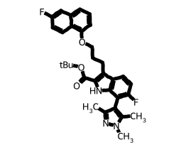 Cc1nn(C)c(C)c1-c1c(F)ccc2c(CCCOc3cccc4cc(F)ccc34)c(C(=O)OC(C)(C)C)[nH]c12